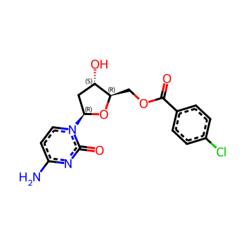 Nc1ccn([C@H]2C[C@H](O)[C@@H](COC(=O)c3ccc(Cl)cc3)O2)c(=O)n1